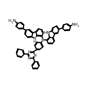 Nc1ccc(-c2ccc3[nH]c4c(B(c5ccc(-c6nc(-c7ccccc7)nc(-c7ccccc7)n6)cc5)c5cccc6c5[nH]c5ccc(-c7ccc(N)cc7)cc56)cccc4c3c2)cc1